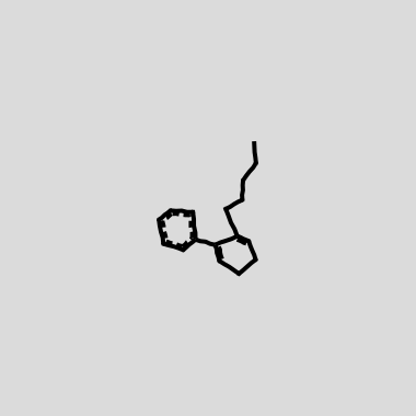 CCCCCC1=CCCC=C1c1ccccc1